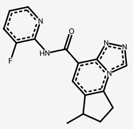 CC1CCc2c1cc(C(=O)Nc1ncccc1F)c1nncn21